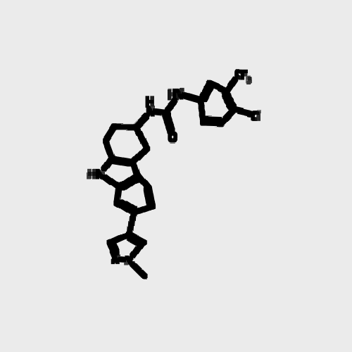 Cn1cc(-c2ccc3c4c([nH]c3c2)CCC(NC(=O)Nc2ccc(Cl)c(C(F)(F)F)c2)C4)cn1